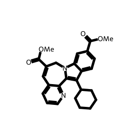 COC(=O)C1=Cc2cccnc2-c2c(C3CCCCC3)c3ccc(C(=O)OC)cc3n2C1